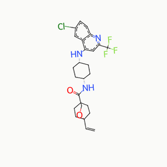 C=CC12CCC(C(=O)N[C@H]3CC[C@@H](Nc4cc(C(F)(F)F)nc5ccc(Cl)cc45)CC3)(CC1)CO2